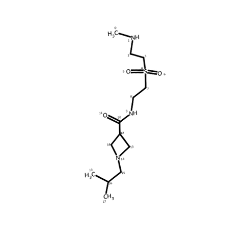 CNCCS(=O)(=O)CCNC(=O)C1CN(CC(C)C)C1